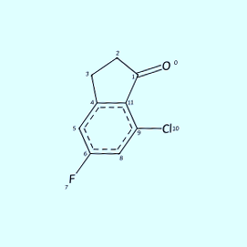 O=C1CCc2cc(F)cc(Cl)c21